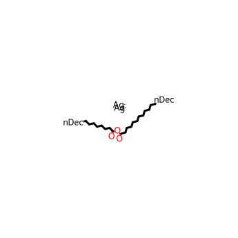 CCCCCCCCCCCCCCCCCCCCCC(=O)OC(=O)CCCCCCCCCCCCCCCCC.[Ag].[Ag]